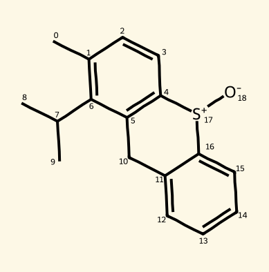 Cc1ccc2c(c1C(C)C)Cc1ccccc1[S+]2[O-]